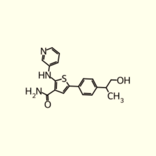 CC(CO)c1ccc(-c2cc(C(N)=O)c(Nc3cccnc3)s2)cc1